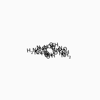 Nc1nc2c(ncn2[C@@H]2O[C@@H]3CNS(=O)(=O)O[C@H]4[C@@H](F)[C@H](n5cnc6c(N)ncnc65)O[C@@H]4CO[P@@](=O)(S)O[C@@H]2C3)c(=O)[nH]1